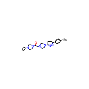 CCCCc1ccc(-c2ccc(N3CCN(CC(=O)N4CCN(C5CCC5)CC4)CC3)nn2)cc1